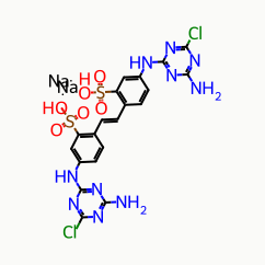 Nc1nc(Cl)nc(Nc2ccc(C=Cc3ccc(Nc4nc(N)nc(Cl)n4)cc3S(=O)(=O)O)c(S(=O)(=O)O)c2)n1.[Na].[Na]